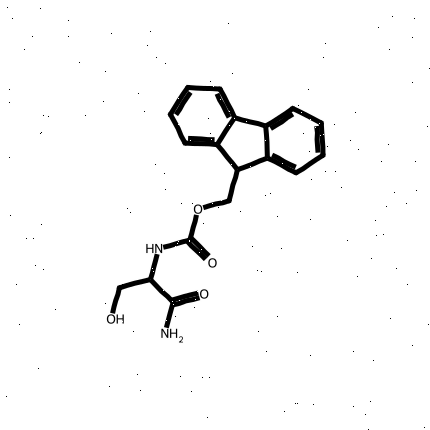 NC(=O)C(CO)NC(=O)OCC1c2ccccc2-c2ccccc21